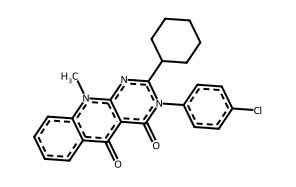 Cn1c2ccccc2c(=O)c2c(=O)n(-c3ccc(Cl)cc3)c(C3CCCCC3)nc21